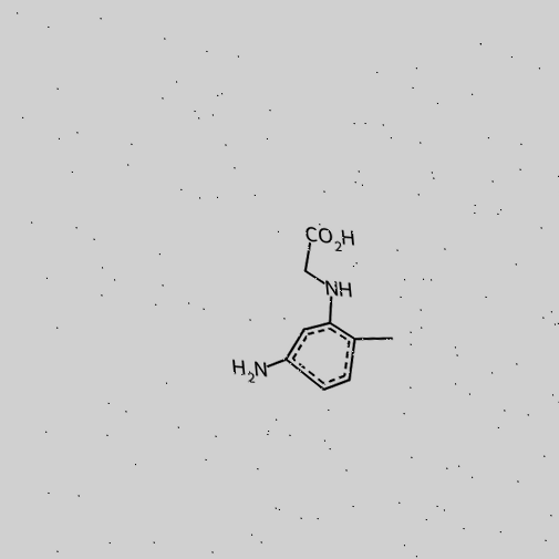 Cc1ccc(N)cc1NCC(=O)O